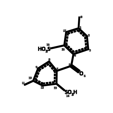 Cc1ccc(C(=O)c2ccc(C)cc2S(=O)(=O)O)c(S(=O)(=O)O)c1